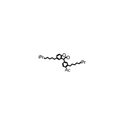 CC(=O)c1ccc(C2C(=O)Oc3ccc(CCCCCC(C)C)cc32)cc1CCCCCC(C)C